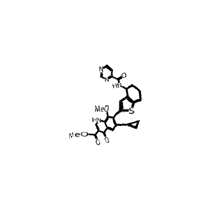 COC(=O)c1c[nH]c2c(OC)c(-c3cc4c(s3)CCCC4NC(=O)c3ccncn3)c(C3CC3)cc2c1=O